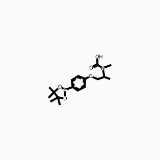 CC(COc1ccc(B2OC(C)(C)C(C)(C)O2)cc1)N(C)C(=O)O